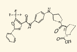 O=C(Nc1ccc(NC2CCN(C(=O)[C@H]3CCC[C@@H]3C(=O)O)C2)cc1)c1nc(-c2ccccc2)oc1C(F)(F)F